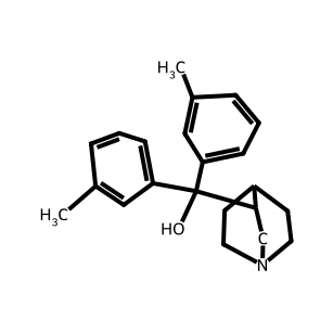 Cc1cccc(C(O)(c2cccc(C)c2)C2CN3CCC2CC3)c1